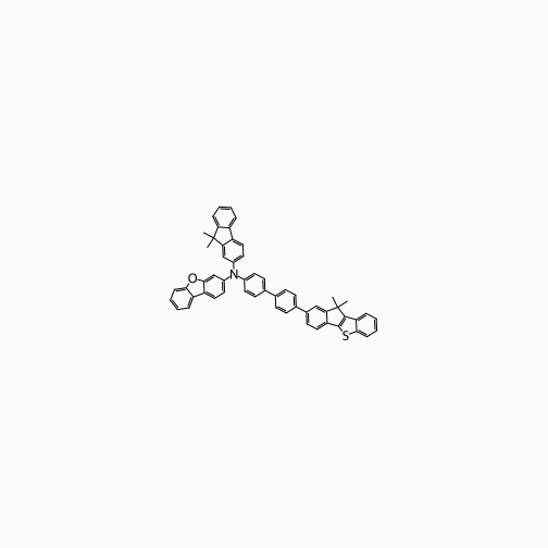 CC1(C)c2ccccc2-c2ccc(N(c3ccc(-c4ccc(-c5ccc6c(c5)C(C)(C)c5c-6sc6ccccc56)cc4)cc3)c3ccc4c(c3)oc3ccccc34)cc21